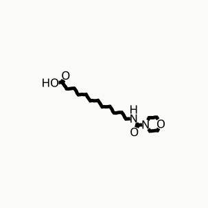 O=C(O)CCCCCCCCCCCNC(=O)N1CCOCC1